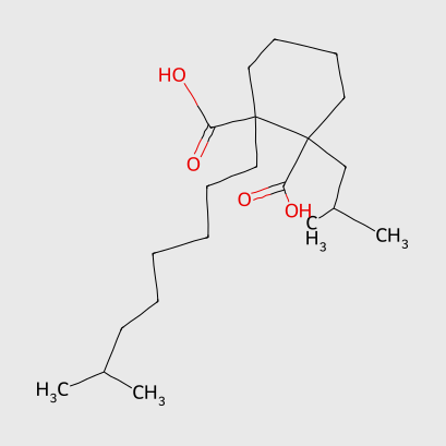 CC(C)CCCCCCC1(C(=O)O)CCCCC1(CC(C)C)C(=O)O